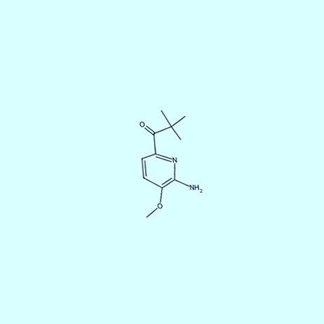 COc1ccc(C(=O)C(C)(C)C)nc1N